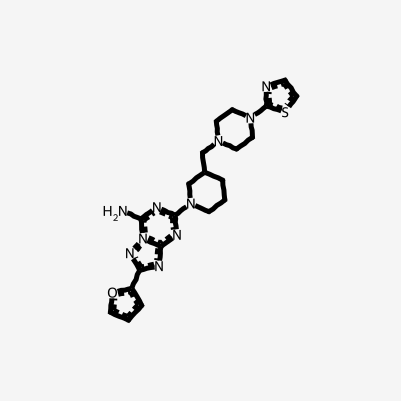 Nc1nc(N2CCCC(CN3CCN(c4nccs4)CC3)C2)nc2nc(-c3ccco3)nn12